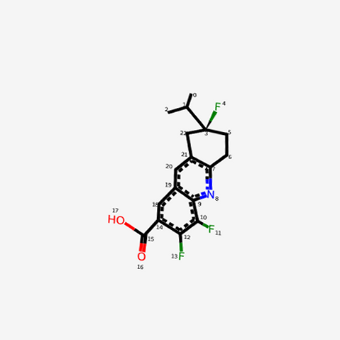 CC(C)[C@]1(F)CCc2nc3c(F)c(F)c(C(=O)O)cc3cc2C1